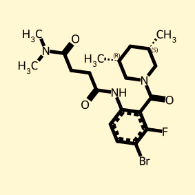 C[C@@H]1C[C@H](C)CN(C(=O)c2c(NC(=O)CCC(=O)N(C)C)ccc(Br)c2F)C1